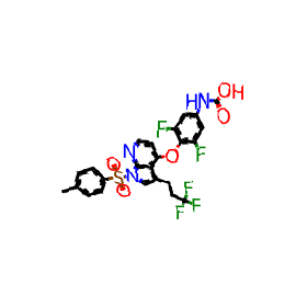 Cc1ccc(S(=O)(=O)n2cc(CCC(F)(F)F)c3c(Oc4c(F)cc(NC(=O)O)cc4F)ccnc32)cc1